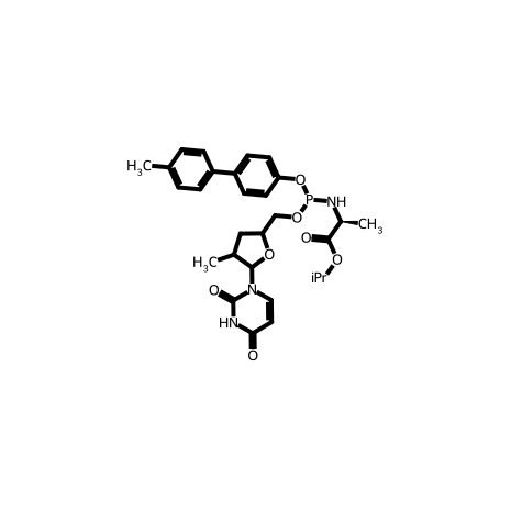 Cc1ccc(-c2ccc(OP(N[C@@H](C)C(=O)OC(C)C)OCC3CC(C)C(n4ccc(=O)[nH]c4=O)O3)cc2)cc1